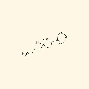 CCCCC1(F)C=CC(c2ccccc2)=CC1